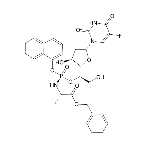 C[C@H](N[P@](=O)(Oc1cccc2ccccc12)O[C@H](CO)[C@H]1O[C@@H](n2cc(F)c(=O)[nH]c2=O)C[C@@H]1O)C(=O)OCc1ccccc1